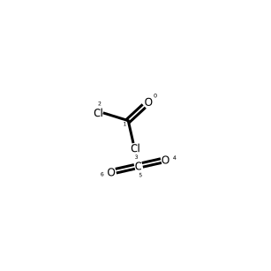 O=C(Cl)Cl.O=C=O